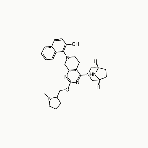 CN1CCCC1COc1nc2c(c(N3C[C@H]4CC[C@@H](C3)N4)n1)CCN(c1c(O)ccc3ccccc13)C2